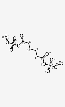 CCOS(=O)(=O)OC(=O)CCCCC(=O)OS(=O)(=O)OCC